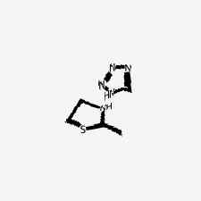 CC1NCCS1.c1nnn[nH]1